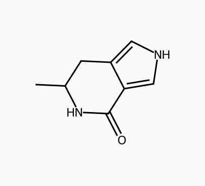 CC1Cc2c[nH]cc2C(=O)N1